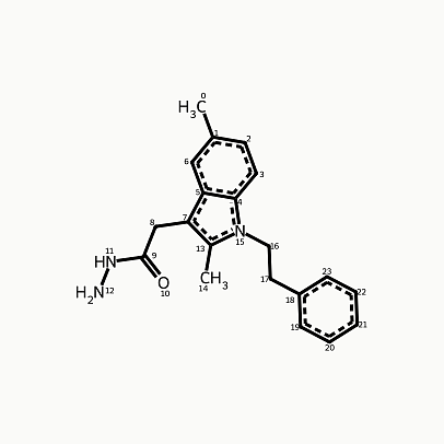 Cc1ccc2c(c1)c(CC(=O)NN)c(C)n2CCc1ccccc1